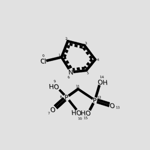 Clc1ccccn1.O=P(O)(O)CP(=O)(O)O